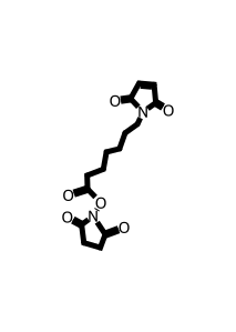 O=C(CCCCCCN1C(=O)C=CC1=O)ON1C(=O)CCC1=O